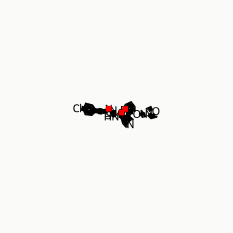 O=C(Nc1nnc(C#Cc2ccc(Cl)cc2)s1)c1ccncc1-c1c(F)cccc1OCCN1CCOCC1